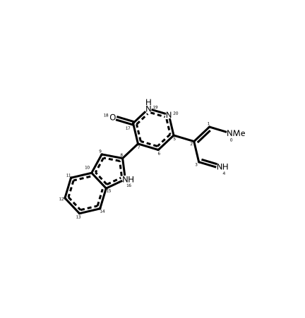 CN/C=C(\C=N)c1cc(-c2cc3ccccc3[nH]2)c(=O)[nH]n1